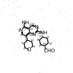 Nc1ncc(C2CCOCC2)c2nc(N[C@H]3CC[C@H](C=O)CC3)ncc12